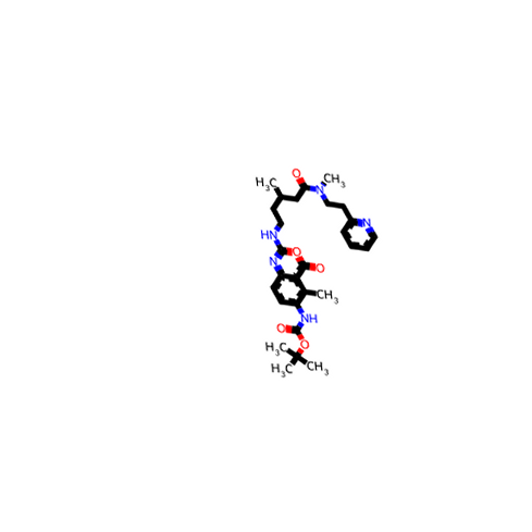 Cc1c(NC(=O)OC(C)(C)C)ccc2nc(NCCC(C)CC(=O)N(C)CCc3ccccn3)oc(=O)c12